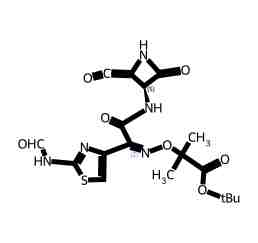 CC(C)(C)OC(=O)C(C)(C)O/N=C(\C(=O)N[C@@H]1C(=O)NC1=C=O)c1csc(NC=O)n1